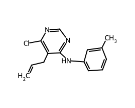 C=CCc1c(Cl)ncnc1Nc1cccc(C)c1